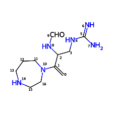 C=C(C(CNC(=N)N)NC=O)N1CCCNCC1